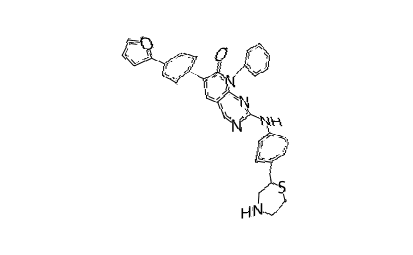 O=c1c(-c2ccc(-c3ccco3)cc2)cc2cnc(Nc3ccc(C4CNCCS4)cc3)nc2n1-c1ccccc1